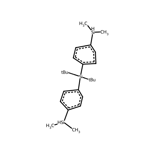 C[SiH](C)c1ccc([Si](c2ccc([SiH](C)C)cc2)(C(C)(C)C)C(C)(C)C)cc1